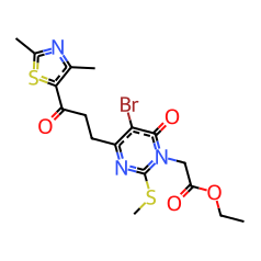 CCOC(=O)Cn1c(SC)nc(CCC(=O)c2sc(C)nc2C)c(Br)c1=O